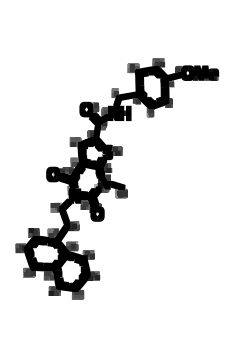 COc1ccc(CNC(=O)c2cc3c(=O)n(CCc4cccc5ccccc45)c(=O)n(C)c3s2)cc1